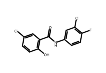 O=C(Nc1ccc(F)c(Cl)c1)c1cc(Cl)ccc1O